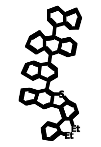 CCc1ccccc1-c1c(CC)ccc2sc3c(-c4ccc(-c5c6ccccc6c(-c6cccc7ccccc67)c6ccccc56)c5ccccc45)c4ccccc4cc3c12